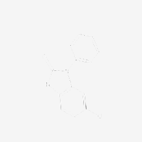 O=C1[N]c2ccc(Cl)cc2N1c1ccccc1